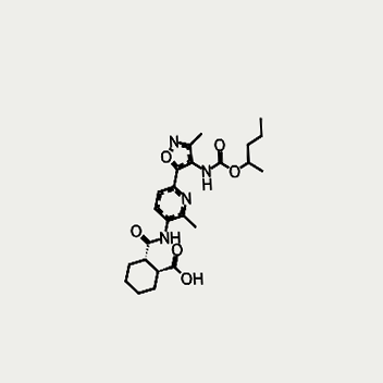 CCCC(C)OC(=O)Nc1c(C)noc1-c1ccc(NC(=O)[C@H]2CCCC[C@@H]2C(=O)O)c(C)n1